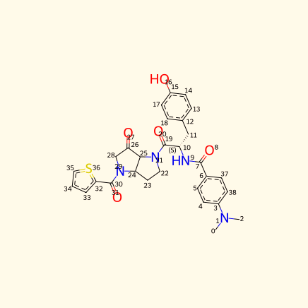 CN(C)c1ccc(C(=O)N[C@@H](Cc2ccc(O)cc2)C(=O)N2CCC3C2C(=O)CN3C(=O)c2cccs2)cc1